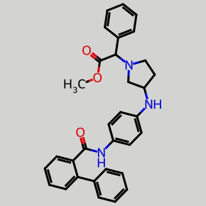 COC(=O)C(c1ccccc1)N1CCC(Nc2ccc(NC(=O)c3ccccc3-c3ccccc3)cc2)C1